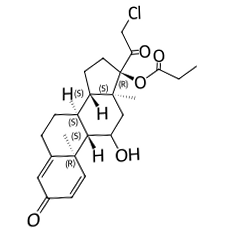 CCC(=O)O[C@]1(C(=O)CCl)CC[C@H]2[C@@H]3CCC4=CC(=O)C=C[C@]4(C)[C@H]3C(O)C[C@@]21C